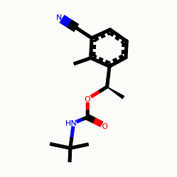 Cc1c(C#N)cccc1[C@@H](C)OC(=O)NC(C)(C)C